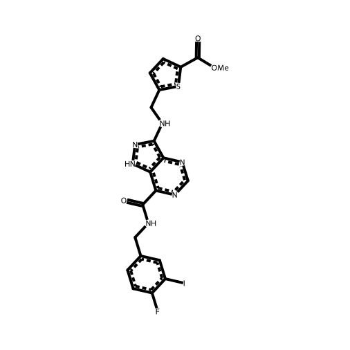 COC(=O)c1ccc(CNc2n[nH]c3c(C(=O)NCc4ccc(F)c(I)c4)ncnc23)s1